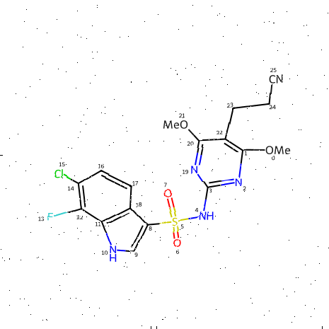 COc1nc(NS(=O)(=O)c2c[nH]c3c(F)c(Cl)ccc23)nc(OC)c1CCC#N